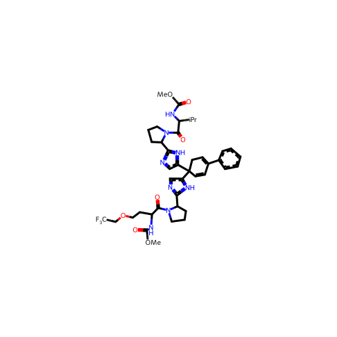 COC(=O)NC(CCOCC(F)(F)F)C(=O)N1CCCC1c1ncc(C2(c3cnc(C4CCCN4C(=O)C(NC(=O)OC)C(C)C)[nH]3)C=CC(c3ccccc3)=CC2)[nH]1